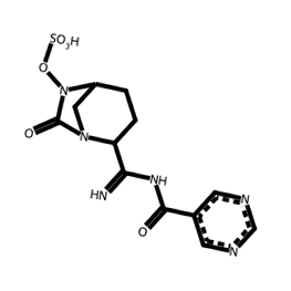 N=C(NC(=O)c1cncnc1)C1CCC2CN1C(=O)N2OS(=O)(=O)O